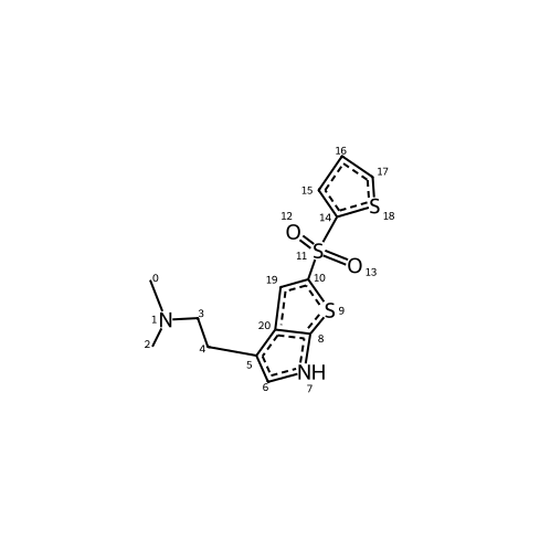 CN(C)CCc1c[nH]c2sc(S(=O)(=O)c3cccs3)cc12